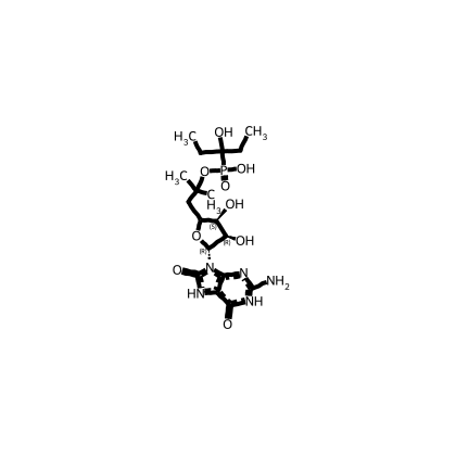 CCC(O)(CC)P(=O)(O)OC(C)(C)CC1O[C@@H](n2c(=O)[nH]c3c(=O)[nH]c(N)nc32)[C@H](O)[C@@H]1O